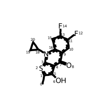 Cc1sc2c(c1O)c(=O)c1cc(F)c(F)cc1n2C1CC1